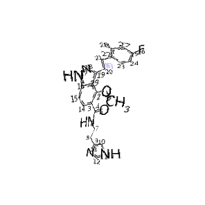 COc1c(C(=O)NCCc2c[nH]cn2)ccc2[nH]nc(/C=C/c3ccc(F)cc3)c12